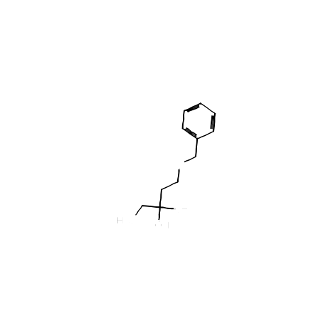 CCC(C)(O)CCOCc1ccccc1